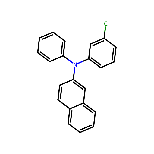 Clc1cccc(N(c2ccccc2)c2ccc3ccccc3c2)c1